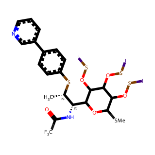 CSC1OC([C@H](NC(=O)C(F)(F)F)[C@H](C)Sc2ccc(-c3cccnc3)cc2)C(OSI)C(OSI)C1OSI